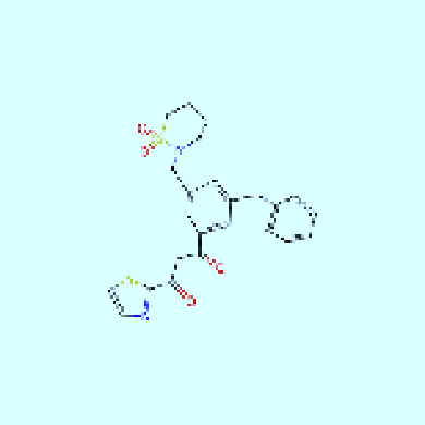 O=C(CC(=O)c1nccs1)c1cc(Cc2ccccc2)cc(CN2CCCCS2(=O)=O)c1